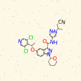 CC(Oc1ccc2c(c1)c(C(=O)Nc1cnn(C(C)CC#N)c1)nn2C1CCCCO1)c1c(Cl)cncc1Cl